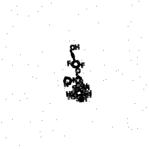 OCC#Cc1cc(F)c(OCc2cnc(SC3(S)C(S)(S)C(S)(S)C(S)(S)C3(S)S)n2-c2cccnc2)cc1F